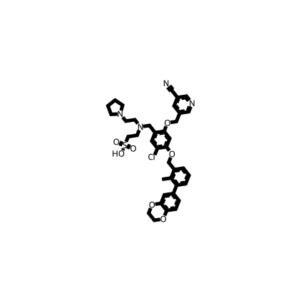 Cc1c(COc2cc(OCc3cncc(C#N)c3)c(CN(CCN3CCCC3)CCS(=O)(=O)O)cc2Cl)cccc1-c1ccc2c(c1)OCCO2